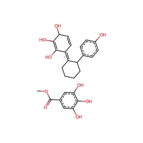 COC(=O)c1cc(O)c(O)c(O)c1.OC1=C(O)C(O)C=C/C1=C1/CCCCC1c1ccc(O)cc1